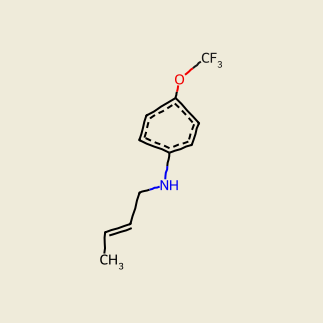 C/C=C/CNc1ccc(OC(F)(F)F)cc1